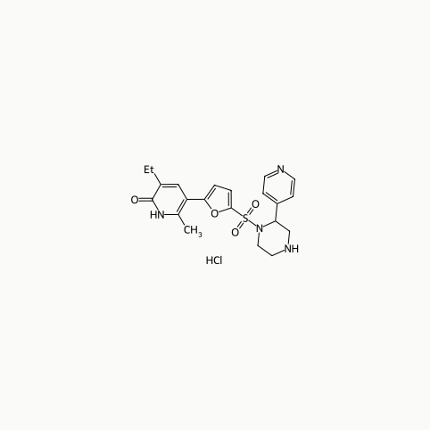 CCc1cc(-c2ccc(S(=O)(=O)N3CCNCC3c3ccncc3)o2)c(C)[nH]c1=O.Cl